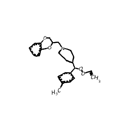 C=COOC(c1ccc(C)cc1)C1CCN(CC2COc3ccccc3O2)CC1